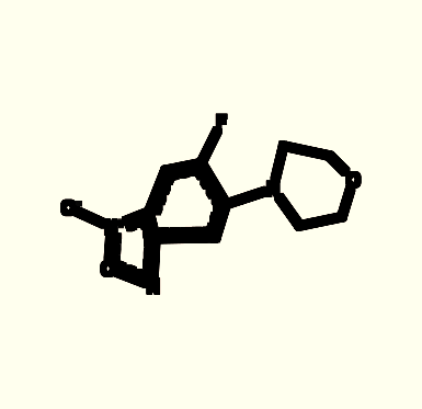 [O-][n+]1onc2cc(N3CCOCC3)c(F)cc21